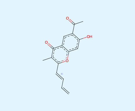 C=C/C=C/c1oc2cc(O)c(C(C)=O)cc2c(=O)c1C